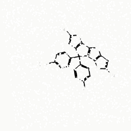 CCCCCCc1ccc(C2(c3ccc(C)cc3)c3cc(Br)sc3-c3sc4cc(Br)sc4c32)cc1